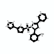 O=S(=O)(c1ccc(-c2csnn2)s1)N1N=C(c2cccnc2)CC1c1ccccc1O